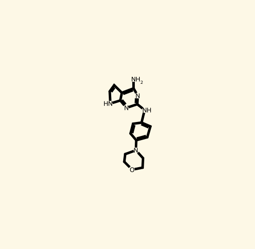 Nc1nc(Nc2ccc(N3CCOCC3)cc2)nc2[nH]ccc12